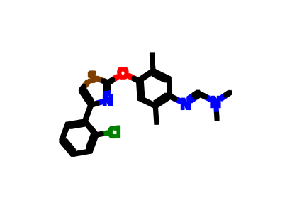 Cc1cc(Oc2nc(-c3ccccc3Cl)cs2)c(C)cc1N=CN(C)C